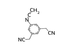 C=C=Nc1cc(CC#N)cc(CC#N)c1